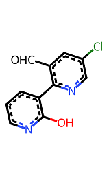 O=Cc1cc(Cl)cnc1-c1cccnc1O